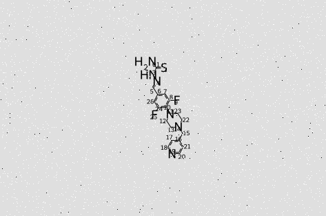 NC(=S)NN=Cc1cc(F)c(N2CCN(Cc3ccncc3)CC2)c(F)c1